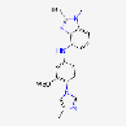 COc1cc(Nc2cccc3c2nc(C(C)(C)C)n3C)ccc1-n1cnc(C)c1